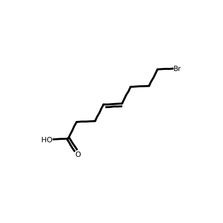 O=C(O)CC/C=C/CCCBr